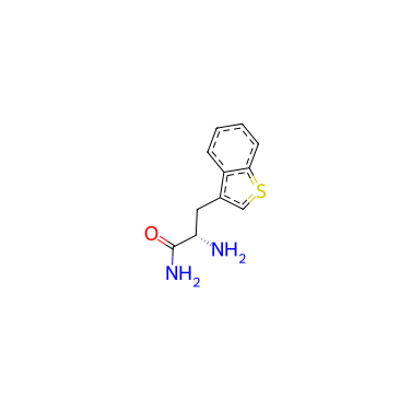 NC(=O)[C@@H](N)Cc1csc2ccccc12